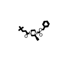 C#CC1CN(C(=O)CCC(C)(C)C)CCN1C(=O)OCc1ccccc1